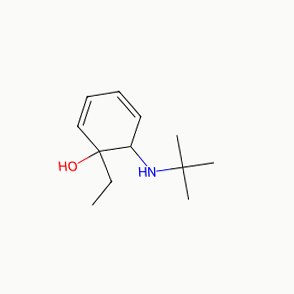 CCC1(O)C=CC=CC1NC(C)(C)C